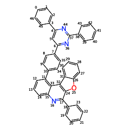 c1ccc(-c2cc(-c3ccc(-c4cccc5nc(-c6ccccc6)c6oc7ccccc7c6c45)cc3)nc(-c3ccccc3)n2)cc1